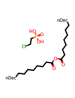 CCCCCCCCCCCCCCCCCC(=O)OC(=O)CCCCCCCCCCCCCCCCC.O=P(O)(O)CCCl